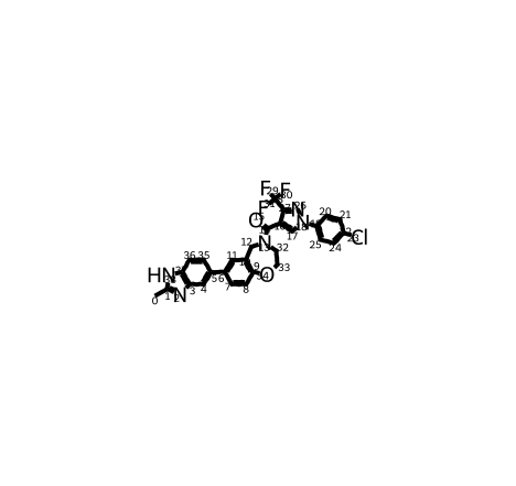 Cc1nc2cc(-c3ccc4c(c3)CN(C(=O)c3cn(-c5ccc(Cl)cc5)nc3C(F)(F)F)CCO4)ccc2[nH]1